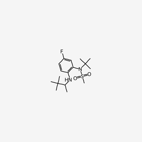 CC(Nc1ccc(F)cc1N(C(C)(C)C)S(C)(=O)=O)C(C)(C)C